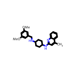 COc1cc(CNC2CCC(Nc3cc(C)c4ccccc4n3)CC2)cc(OC)c1